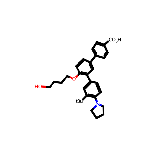 CC(C)(C)c1cc(-c2cc(-c3ccc(C(=O)O)cc3)ccc2OCCCCO)ccc1N1CCCC1